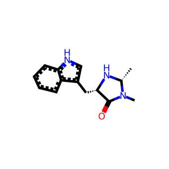 C[C@H]1N[C@@H](Cc2c[nH]c3ccccc23)C(=O)N1C